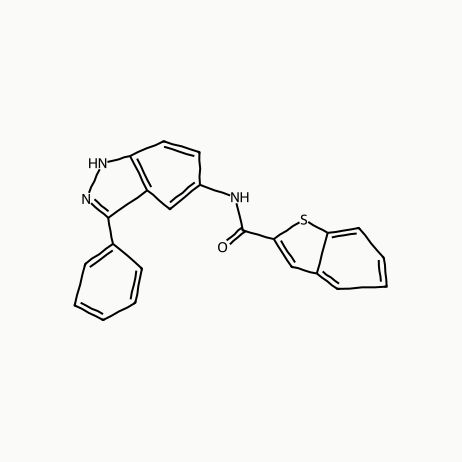 O=C(Nc1ccc2[nH]nc(-c3ccccc3)c2c1)c1cc2ccccc2s1